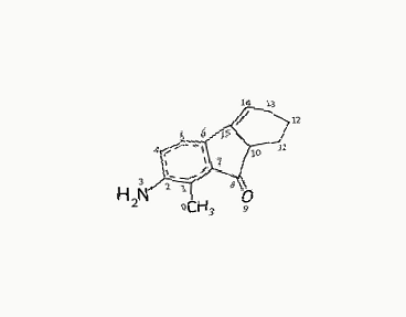 Cc1c(N)ccc2c1C(=O)C1CCCC=C21